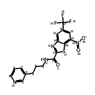 O=C(NCCCc1cccnc1)c1nc2cc(C(F)(F)F)cc([N+](=O)[O-])c2s1